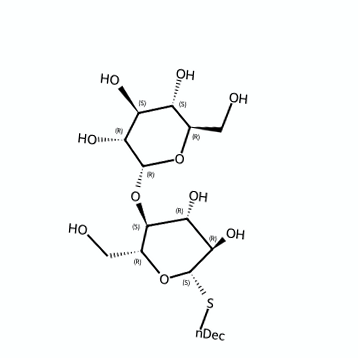 CCCCCCCCCCS[C@@H]1O[C@H](CO)[C@@H](O[C@H]2O[C@H](CO)[C@@H](O)[C@H](O)[C@H]2O)[C@H](O)[C@H]1O